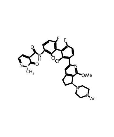 COc1nc(-c2ccc(F)c(-c3c(F)ccc(NC(=O)c4ccnn(C)c4=O)c3Cl)c2Cl)cc2c1[C@@H](N1CCN(C(C)=O)CC1)CC2